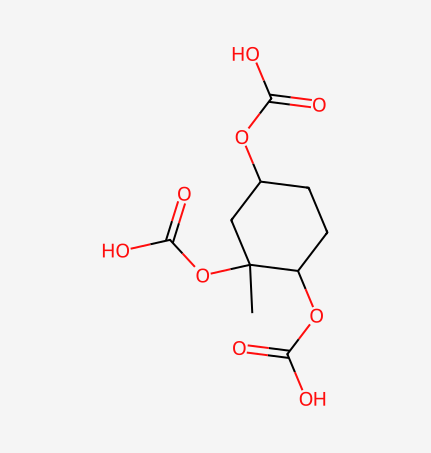 CC1(OC(=O)O)CC(OC(=O)O)CCC1OC(=O)O